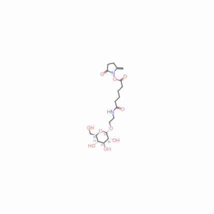 C=C1CCC(=O)N1OC(=O)CCCCC(=O)NCCO[C@H]1O[C@H](CO)[C@@H](O)[C@H](O)[C@H]1O